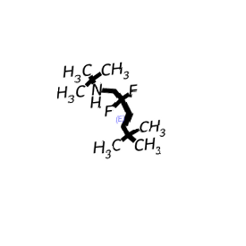 CC(C)(C)/C=C/C(F)(F)CNC(C)(C)C